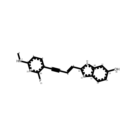 CNc1ccc(C#C/C=C/c2nc3ccc(O)cc3s2)c(F)n1